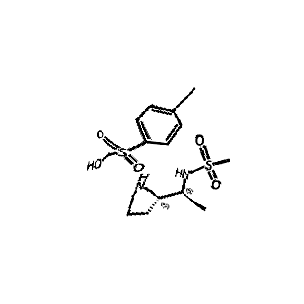 C[C@H](NS(C)(=O)=O)[C@@H]1CCN1.Cc1ccc(S(=O)(=O)O)cc1